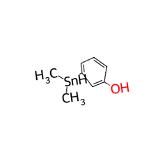 [CH3][SnH]([CH3])[c]1cccc(O)c1